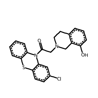 O=C(CN1CCc2cccc(O)c2C1)N1c2ccccc2Sc2ccc(Cl)cc21